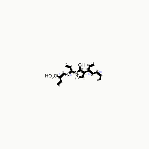 C=C/C(=C\N=C(/C=C)n1ncc(/C(C=C)=C/C=C\C)c1O)C(=O)O